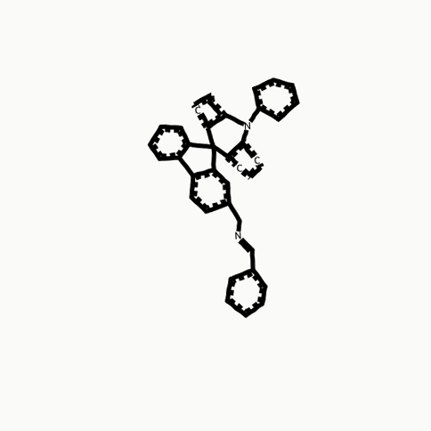 C(=N\Cc1ccc2c(c1)C1(c3ccccc3-2)c2ccccc2N(c2ccccc2)c2ccccc21)/c1ccccc1